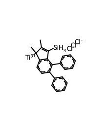 CC1=C([SiH3])c2c(ccc(-c3ccccc3)c2-c2ccccc2)[C]1(C)[Ti+3].[Cl-].[Cl-].[Cl-]